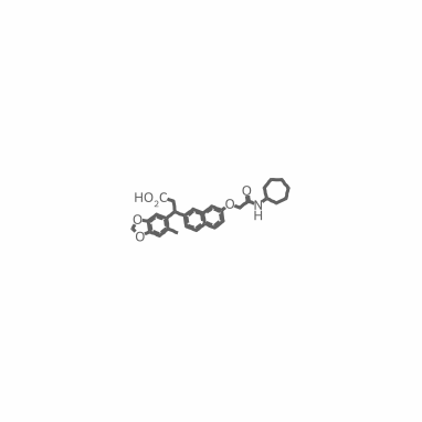 Cc1cc2c(cc1C(CC(=O)O)c1ccc3ccc(OCC(=O)NC4CCCCCC4)cc3c1)OCO2